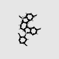 Cc1ccc(C)c(-n2c3ccc(C)cc3c3c4c5cc(C)ccc5n(C)c4ccc32)c1